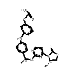 CC(C)[C@H]1COC(=O)N1c1ccnc(N[C@@H](C)c2ccc(Nc3cccc(OC(N)=O)c3)cc2)n1